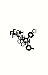 Cc1cccc(-n2nc(-c3ccc(Cl)cc3)cc(C(=O)NC[C@H](O)C(F)(F)F)c2=O)c1